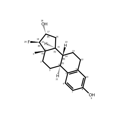 C[C@]12CC[C@@H]3c4ccc(O)cc4CC[C@H]3[C@@H]1C[C@@H](O)[C@@H]2F